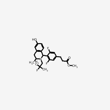 COC(=O)CCc1cc(F)c(C2c3ccc(O)cc3CC(C)N2CC(C)(C)F)c(F)c1